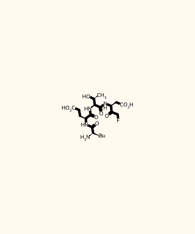 CC[C@H](C)[C@H](N)C(=O)N[C@@H](CCC(=O)O)C(=O)N[C@H](C(=O)N[C@@H](CC(=O)O)C(=O)CF)[C@@H](C)O